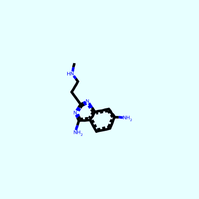 CNCCc1nc(N)c2ccc(N)cc2n1